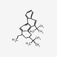 CCC1CC(C(C)(C)C)Cc2c1ccc1c2c(C(C)(C)C)cc2ccccc21